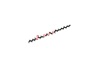 CCCCCCCCCCCCOCCOCCOCCCC(=O)OCCCCCC